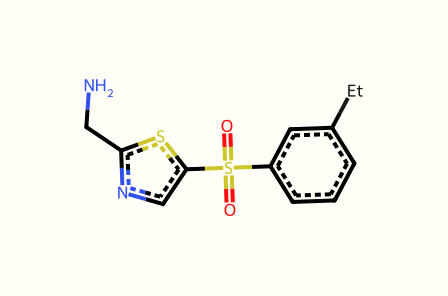 CCc1cccc(S(=O)(=O)c2cnc(CN)s2)c1